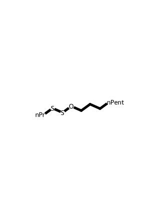 CCCCCCCCOSSCCC